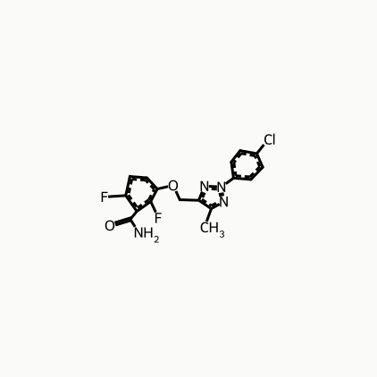 Cc1nn(-c2ccc(Cl)cc2)nc1COc1ccc(F)c(C(N)=O)c1F